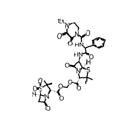 CCN1CCN(C(=O)NC(C(=O)N[C@@H]2C(=O)N3[C@@H]2SC(C)(C)[C@@H]3C(=O)OCOC(=O)[C@@H]2N3C(=O)C[C@H]3S(=O)(=O)C2(C)C)c2ccccc2)C(=O)C1=O